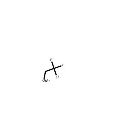 COCC(F)(F)Cl